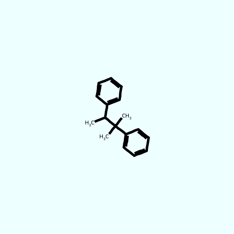 CC(c1ccccc1)C(C)(C)c1ccccc1